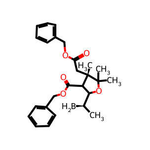 B[C@H](C)C1OC(C)(C)[C@@](C)(CC(=O)OCc2ccccc2)C1C(=O)OCc1ccccc1